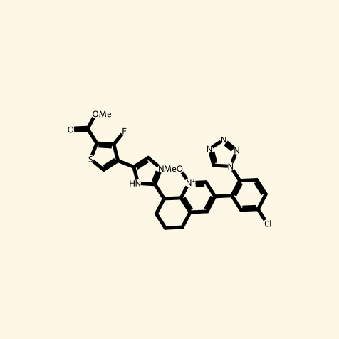 COC(=O)c1scc(-c2cnc(C3CCCc4cc(-c5cc(Cl)ccc5-n5cnnn5)c[n+](OC)c43)[nH]2)c1F